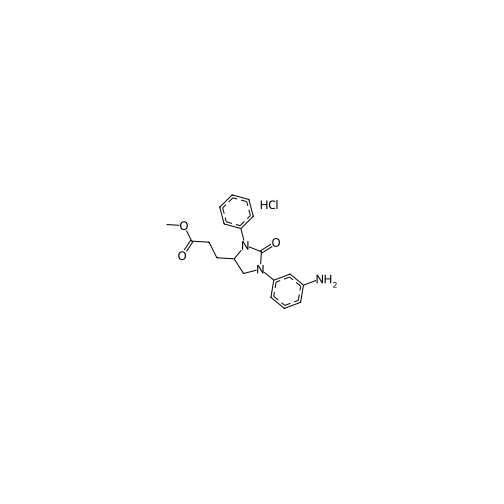 COC(=O)CCC1CN(c2cccc(N)c2)C(=O)N1c1ccccc1.Cl